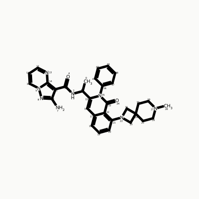 CC(NC(=O)c1c(N)nn2cccnc12)c1cc2cccc(N3CC4(CCN(C)CC4)C3)c2c(=O)n1-c1ccccc1